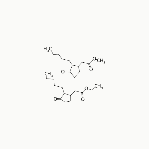 CCCCCC1C(=O)CCC1CC(=O)OC.CCCCCC1C(=O)CCC1CC(=O)OCC